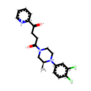 C[C@H]1CN(C(=O)CCC(=O)c2ccccn2)CCN1c1ccc(Cl)c(Cl)c1